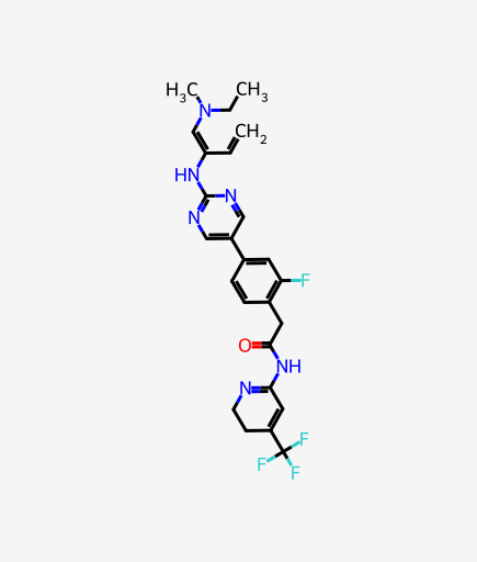 C=C/C(=C\N(C)CC)Nc1ncc(-c2ccc(CC(=O)NC3=NCCC(C(F)(F)F)=C3)c(F)c2)cn1